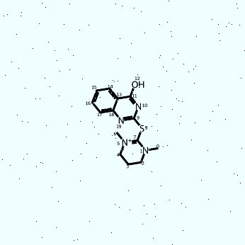 CN1CCC[N+](C)=C1Sc1nc(O)c2ccccc2n1